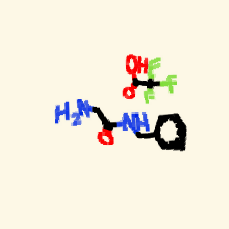 NCC(=O)NCc1ccccc1.O=C(O)C(F)(F)F